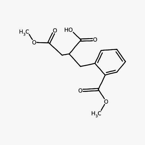 COC(=O)CC(Cc1ccccc1C(=O)OC)C(=O)O